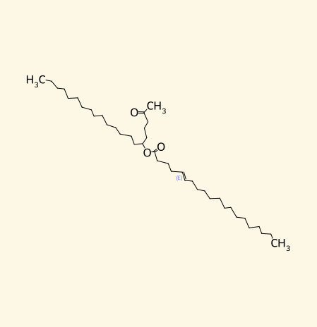 CCCCCCCCCCCCCC/C=C/CCCC(=O)OC(CCCCCCCCCCCCCCC)CCCC(C)=O